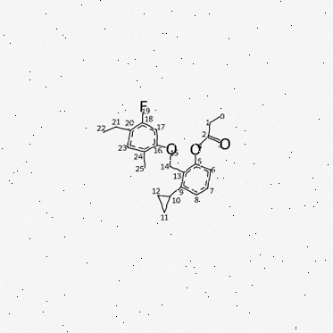 CCC(=O)Oc1cccc(C2CC2)c1COc1cc(F)c(CC)cc1C